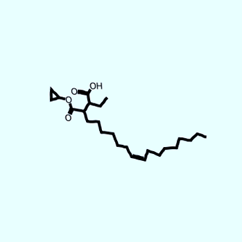 CCCCCCCC/C=C\CCCCCCC(C(=O)OC1CC1)C(CC)C(=O)O